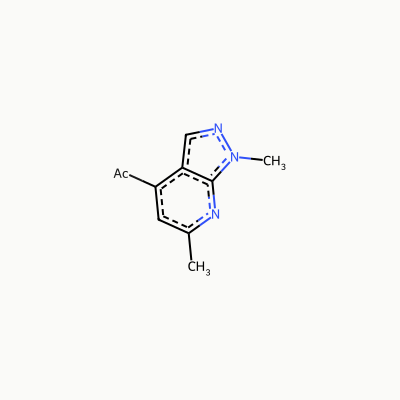 CC(=O)c1cc(C)nc2c1cnn2C